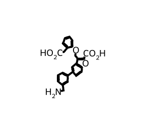 NCc1cccc(-c2ccc3oc(C(=O)O)c(COc4ccccc4CC(=O)O)c3c2)c1